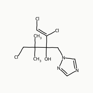 CC(C)(CCl)C(O)(Cn1cncn1)C(Cl)=CCl